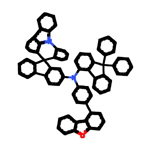 c1ccc(C2(c3ccccc3)c3ccccc3-c3c(N(c4ccc(-c5cccc6oc7ccccc7c56)cc4)c4ccc5c(c4)C4(c6ccccc6-5)c5ccccc5-n5c6ccccc6c6cccc4c65)cccc32)cc1